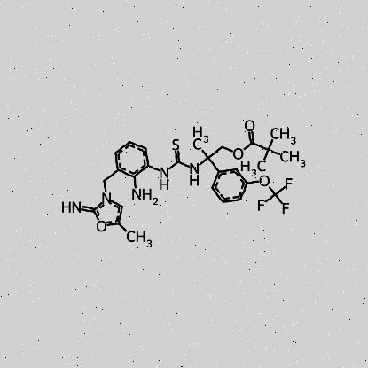 Cc1cn(Cc2cccc(NC(=S)NC(C)(COC(=O)C(C)(C)C)c3cccc(OC(F)(F)F)c3)c2N)c(=N)o1